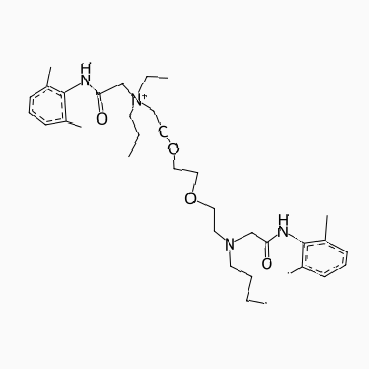 CCCCN(CCOCCOCC[N+](CC)(CCC)CC(=O)Nc1c(C)cccc1C)CC(=O)Nc1c(C)cccc1C